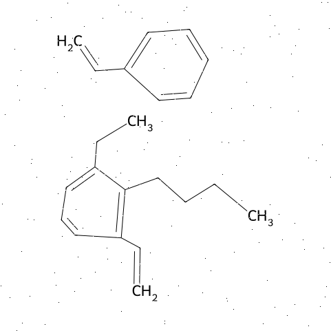 C=Cc1cccc(CC)c1CCCC.C=Cc1ccccc1